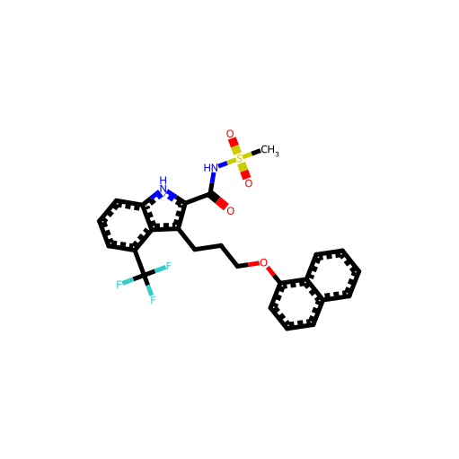 CS(=O)(=O)NC(=O)c1[nH]c2cccc(C(F)(F)F)c2c1CCCOc1cccc2ccccc12